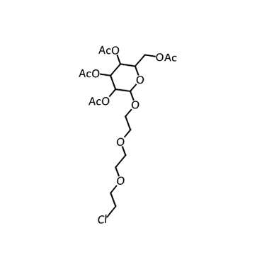 CC(=O)OCC1OC(OCCOCCOCCCl)C(OC(C)=O)C(OC(C)=O)C1OC(C)=O